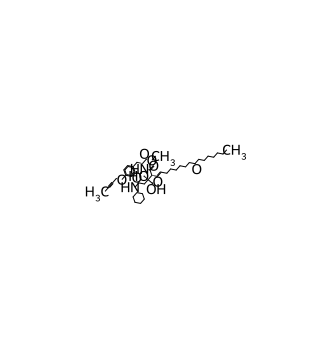 CC#CCOc1ccc(C[C@H](NC(=O)[C@@H](C=CCCCCCCC(=O)CCCCCCC)[C@@](O)(CC(=O)NC2CCCCC2)C(=O)O)C(=O)OC)cc1